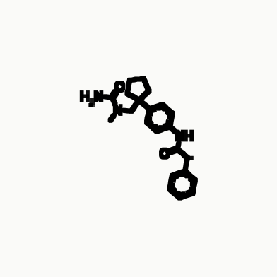 CN(CC1(c2ccc(NC(=O)[CH]c3ccccc3)cc2)CCCC1)C(N)=O